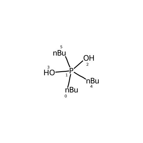 CCCCP(O)(O)(CCCC)CCCC